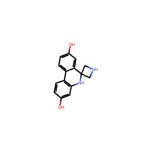 Oc1ccc2c(c1)NC1(CNC1)c1cc(O)ccc1-2